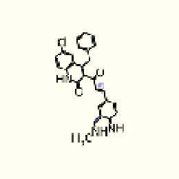 CN/C=C1C=C(/C=C/C(=O)c2c(Cc3ccccc3)c3cc(Cl)ccc3[nH]c2=O)C=CC/1=N